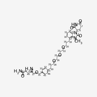 Cn1c(=O)n(C2CCC(=O)NC2=O)c2cccc(CCCOCCOCCOCCCc3ccc(COC[C@@H](N)CCC(N)=O)cc3)c21